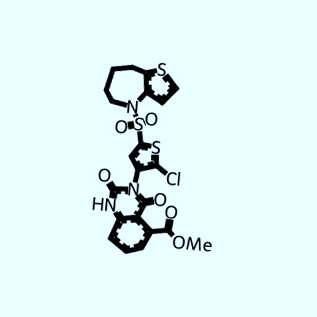 COC(=O)c1cccc2[nH]c(=O)n(-c3cc(S(=O)(=O)N4CCCCc5sccc54)sc3Cl)c(=O)c12